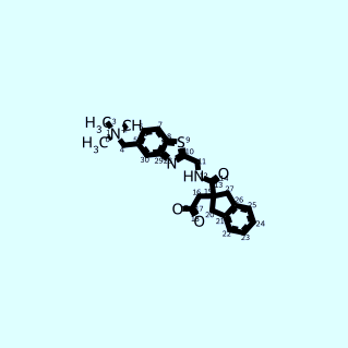 C[N+](C)(C)Cc1ccc2sc(CNC(=O)C3(CC(=O)[O-])Cc4ccccc4C3)nc2c1